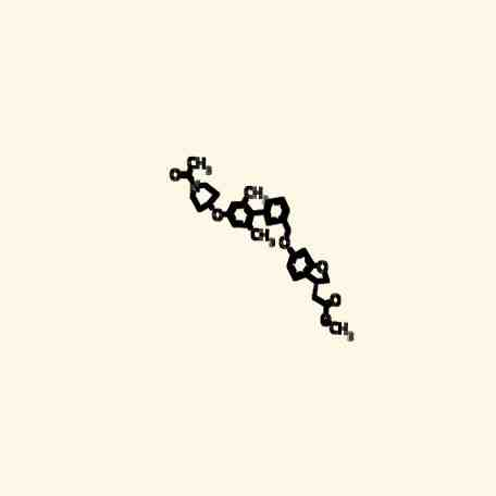 COC(=O)C[C@@H]1COc2cc(OCc3cccc(-c4c(C)cc(OC5CCN(C(C)=O)CC5)cc4C)c3)ccc21